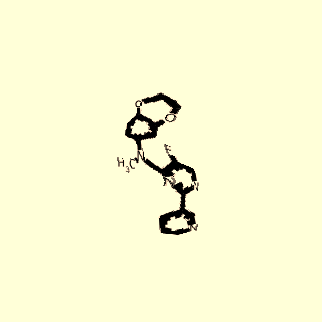 CN(c1ccc2c(c1)OCCO2)c1nc(-c2cccnc2)ncc1F